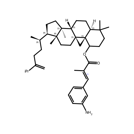 C=C(CC[C@@H](C)[C@H]1CC[C@@]2(C)[C@@H]3CC[C@H]4C(C)(C)CCC(OC(=O)/C(C)=C/c5cccc(N)c5)[C@@]45C[C@@]35CC[C@]12C)C(C)C